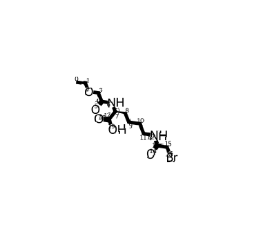 CCOCC(=O)N[C@@H](CCCCNC(=O)CBr)C(=O)O